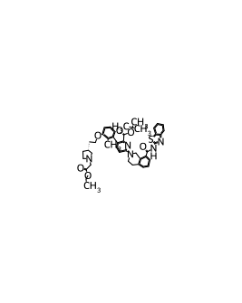 CCOC(=O)CN1CC[C@H](CCOc2cccc(-c3ccc(N4CCc5cccc(C(=O)Nc6nc7ccccc7s6)c5C4)nc3C(=O)OC(C)(C)C)c2C)C1